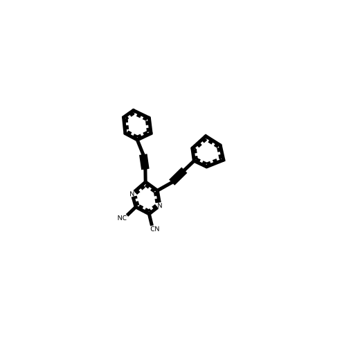 N#Cc1nc(C#Cc2ccccc2)c(C#Cc2ccccc2)nc1C#N